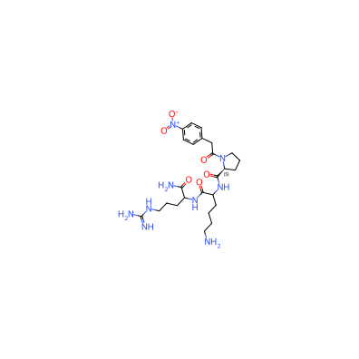 N=C(N)NCCCC(NC(=O)C(CCCCN)NC(=O)[C@@H]1CCCN1C(=O)Cc1ccc([N+](=O)[O-])cc1)C(N)=O